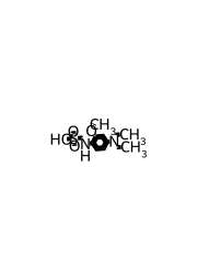 CCN(CC)c1ccc(NCS(=O)(=O)O)c(OC)c1